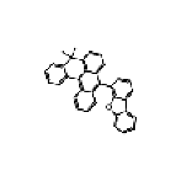 CC1(C)c2ccccc2-c2c3ccccc3c(-c3cccc4c3oc3ccccc34)c3cccc1c23